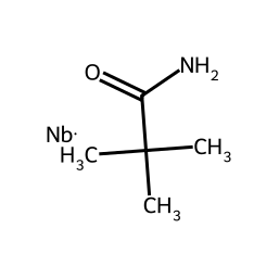 CC(C)(C)C(N)=O.[Nb]